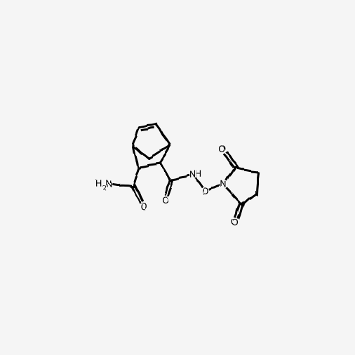 NC(=O)C1C2C=CC(C2)C1C(=O)NON1C(=O)CCC1=O